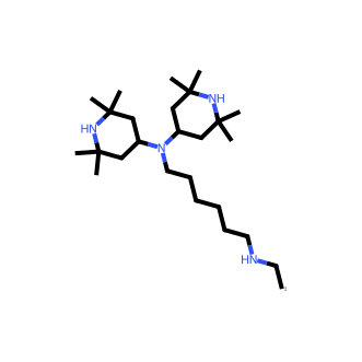 [CH]CNCCCCCCN(C1CC(C)(C)NC(C)(C)C1)C1CC(C)(C)NC(C)(C)C1